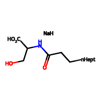 CCCCCCCCCC(=O)NC(CO)C(=O)O.[NaH]